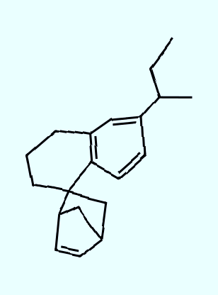 CCC(C)c1ccc2c(c1)CCCC21CC2C=CC1C2